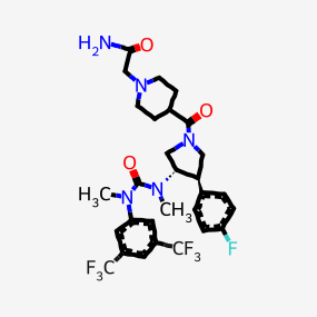 CN(C(=O)N(C)[C@@H]1CN(C(=O)C2CCN(CC(N)=O)CC2)C[C@H]1c1ccc(F)cc1)c1cc(C(F)(F)F)cc(C(F)(F)F)c1